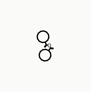 C=C(OC(=C)C1CCCCCCCCCCC1)C1CCCCCCCCCCC1